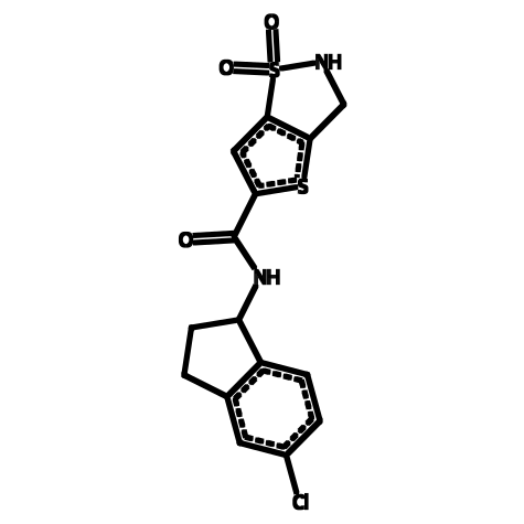 O=C(NC1CCc2cc(Cl)ccc21)c1cc2c(s1)CNS2(=O)=O